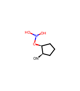 O=N[C@@H]1CCC[C@@H]1ON(O)O